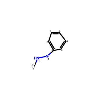 CCN[N]c1ccccc1